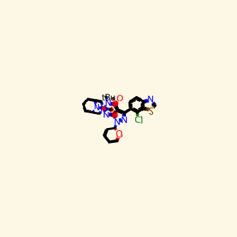 Cn1c(N2C3CCCC2CN(C(=O)OC(C)(C)C)C3)nc2c(c(-c3ccc4ncsc4c3Cl)nn2C2CCCCO2)c1=O